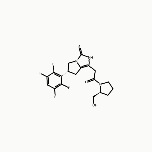 O=C(Cc1[nH]c(=S)n2c1C[C@H](c1c(F)c(F)cc(F)c1F)C2)N1CCC[C@H]1CO